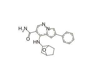 NC(=O)c1cnn2cc(-c3ccccc3)cc2c1NC1CC2CCC1O2